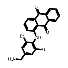 CCc1cc(CN)cc(CC)c1Nc1cccc2c1C(=O)c1ccccc1C2=O